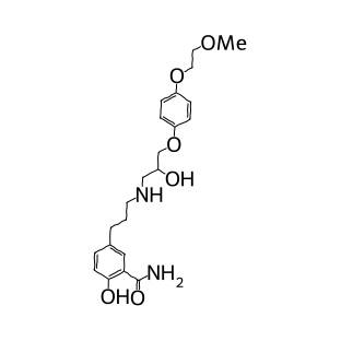 COCCOc1ccc(OCC(O)CNCCCc2ccc(O)c(C(N)=O)c2)cc1